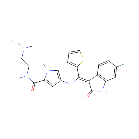 CN(C)CCN(C)C(=O)c1cc(N/C(=C2\C(=O)Nc3cc(Cl)ccc32)c2cccs2)cn1C